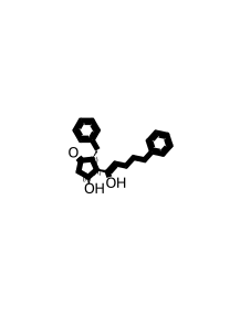 O=C1C[C@@H](O)[C@H](C(O)=CCCCc2ccccc2)[C@H]1Cc1ccccc1